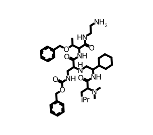 CC(C)CC(C(=O)NC(CNC(CNC(=O)OCc1ccccc1)C(=O)NC(C(=O)NCCN)C(C)OCc1ccccc1)C1CCCCC1)N(C)C